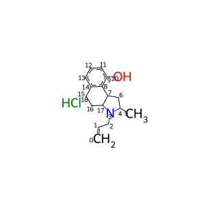 C=CCN1C(C)CC2c3c(O)cccc3CCC21.Cl